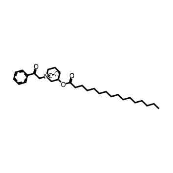 CCCCCCCCCCCCCCCC(=O)OC1C[N+]2(CC(=O)c3ccccc3)CCC1CC2